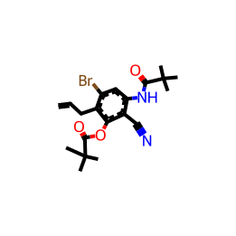 C=CCc1c(Br)cc(NC(=O)C(C)(C)C)c(C#N)c1OC(=O)C(C)(C)C